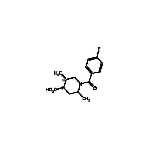 CC1CN(C(=O)O)[C@@H](C)CN1C(=O)c1ccc(F)cc1